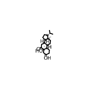 CC(C)[C@H]1CC[C@H]2[C@@H]3CC(=O)[C@@]4(O)C[C@@H](O)CC[C@]4(C)[C@H]3CC[C@]12C